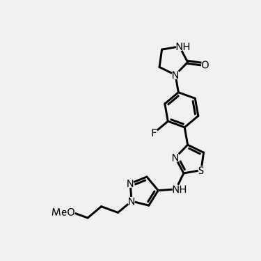 COCCCn1cc(Nc2nc(-c3ccc(N4CCNC4=O)cc3F)cs2)cn1